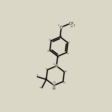 CC1(C)CN(c2ccc(OC(F)(F)F)cc2)CCN1